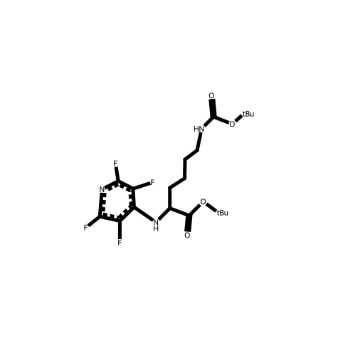 CC(C)(C)OC(=O)NCCCCC(Nc1c(F)c(F)nc(F)c1F)C(=O)OC(C)(C)C